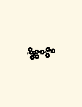 Fc1cc2c(c3ccccc13)-c1ccc(-c3ccc(N(c4ccccc4)c4cccc5c4oc4ccccc45)cc3)cc1C2(c1ccccc1)c1ccccc1